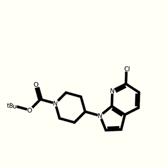 CC(C)(C)OC(=O)N1CCC(n2ccc3ccc(Cl)nc32)CC1